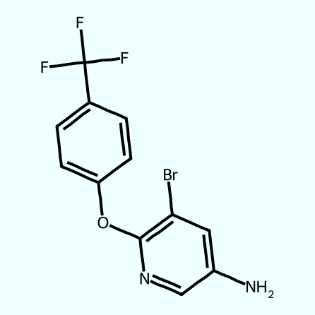 Nc1cnc(Oc2ccc(C(F)(F)F)cc2)c(Br)c1